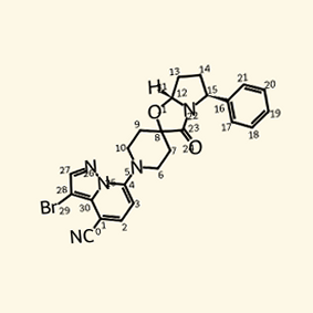 N#Cc1ccc(N2CCC3(CC2)O[C@@H]2CC[C@@H](c4ccccc4)N2C3=O)n2ncc(Br)c12